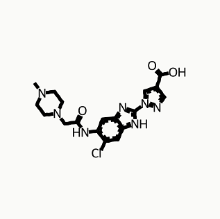 CN1CCN(CC(=O)Nc2cc3nc(-n4cc(C(=O)O)cn4)[nH]c3cc2Cl)CC1